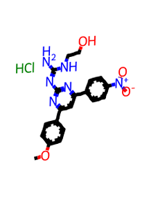 COc1ccc(-c2cc(-c3ccc([N+](=O)[O-])cc3)nc(N=C(N)NCCO)n2)cc1.Cl